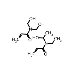 C=CC(=O)N(CC)C(C)O.C=CC(=O)N(CO)CO